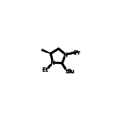 CCN1C(C(C)(C)C)N(C(C)C)C[C@@H]1C